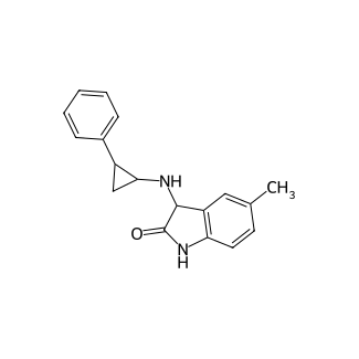 Cc1ccc2c(c1)C(NC1CC1c1ccccc1)C(=O)N2